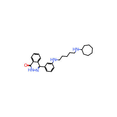 O=c1[nH]nc(-c2cccc(NCCCCCNC3CCCCCC3)c2)c2ccccc12